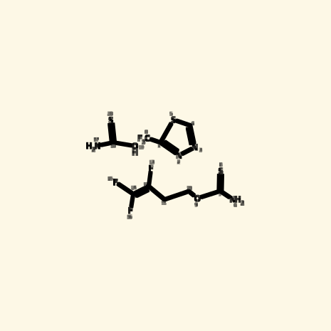 FC(F)(F)c1nncs1.NC(=S)OCCC(F)=C(F)F.NC(O)=S